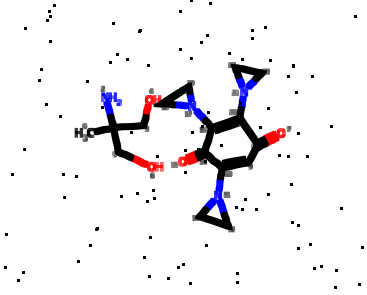 CC(N)(CO)CO.O=C1C=C(N2CC2)C(=O)C(N2CC2)=C1N1CC1